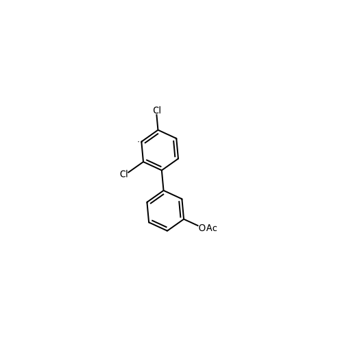 CC(=O)Oc1cccc(-c2ccc(Cl)[c]c2Cl)c1